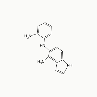 Cc1c(Nc2ccccc2N)ccc2[nH]ccc12